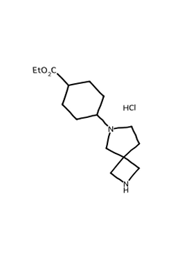 CCOC(=O)C1CCC(N2CCC3(CNC3)C2)CC1.Cl